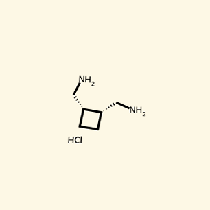 Cl.NC[C@@H]1CC[C@@H]1CN